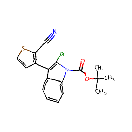 CC(C)(C)OC(=O)n1c(Br)c(-c2ccsc2C#N)c2ccccc21